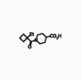 CCC1(C(=O)N2CCC(C(=O)O)CC2)CCC1